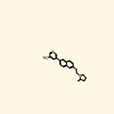 CC1CCCN1CCc1ccc2cc(-c3cncc(C#N)c3)ccc2c1